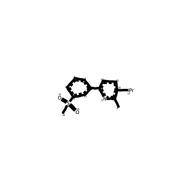 Cc1nc(-c2cccc(S(C)(=O)=O)c2)ccc1C(C)C